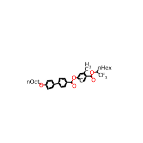 CCCCCCCCOc1ccc(-c2ccc(C(=O)Oc3ccc(C(=O)OC(CCCCCC)C(F)(F)F)c(C)c3)cc2)cc1